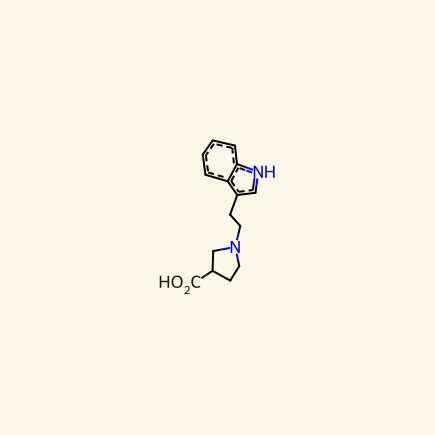 O=C(O)C1CCN(CCc2c[nH]c3ccccc23)C1